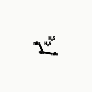 CCC[CH2][Sn][CH2]CCC.S.S